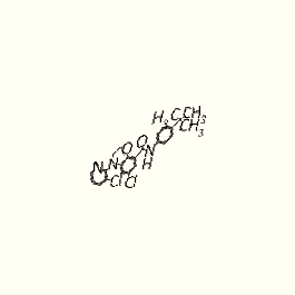 CC(C)(C)c1ccc(NC(=O)c2cc(Cl)cc3c2OCCN3c2ncccc2Cl)cc1